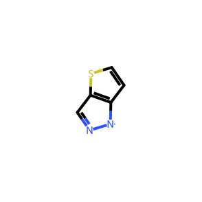 C1=N[N]c2ccsc21